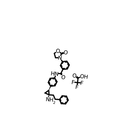 N[C@@]1(CCc2ccccc2)C[C@H]1c1ccc(NC(=O)c2cccc(N3CCOC3=O)c2)cc1.O=C(O)C(F)(F)F